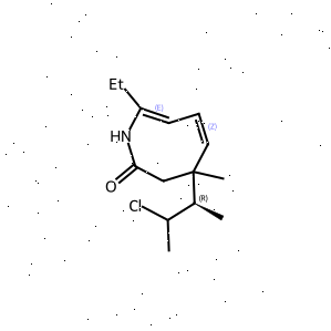 CC/C1=C\C=C/C(C)([C@@H](C)C(C)Cl)CC(=O)N1